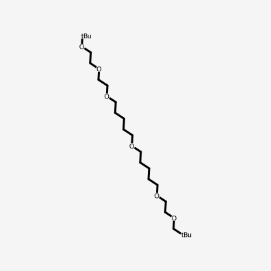 CC(C)(C)COCCOCCCCCOCCCCCOCCOCCOC(C)(C)C